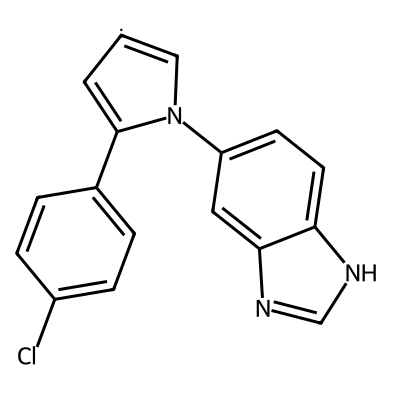 Clc1ccc(-c2c[c]cn2-c2ccc3[nH]cnc3c2)cc1